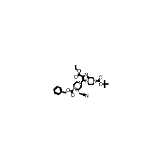 CCOC(=O)c1nc2n(c1N1CCN(C(=O)OCc3ccccc3)[C@@H](CC#N)C1)CCN(C(=O)OC(C)(C)C)C2